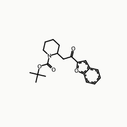 CC(C)(C)OC(=O)N1CCCCC1CC(=O)c1cc2ccccc2o1